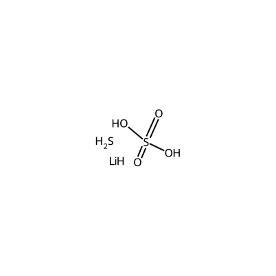 O=S(=O)(O)O.S.[LiH]